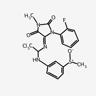 CN1C(=O)C(=NC(Nc2cccc([S+](C)[O-])c2)C(Cl)(Cl)Cl)N(c2ccccc2F)C1=O